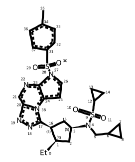 CC[C@@H]1C[C@H](N(CC2CC2)S(=O)(=O)C2CC2)C[C@@H]1c1nnc2cnc3c(ccn3S(=O)(=O)c3ccc(C)cc3)n12